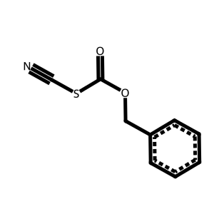 N#CSC(=O)OCc1ccccc1